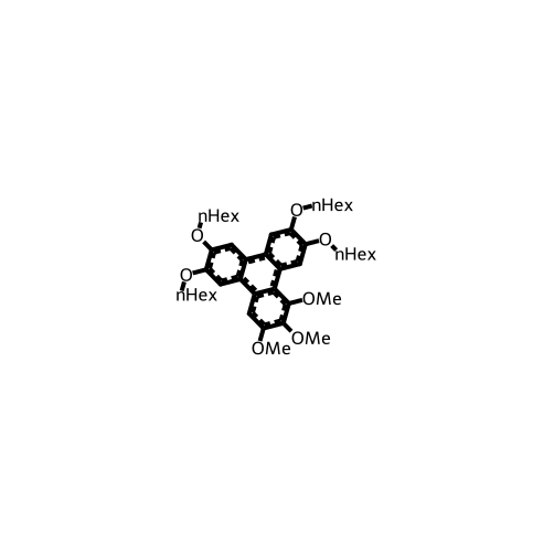 CCCCCCOc1cc2c3cc(OCCCCCC)c(OCCCCCC)cc3c3c(OC)c(OC)c(OC)cc3c2cc1OCCCCCC